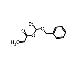 C=CC(=O)OC(CC)OCc1ccccc1